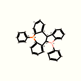 c1ccc(B2c3ccccc3C3c4ccccc4P(c4ccccc4)c4ccccc4C23)cc1